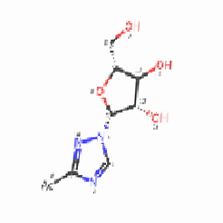 CC(=O)c1ncn([C@@H]2O[C@H](CO)C(O)[C@@H]2O)n1